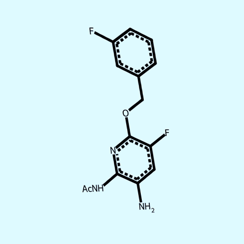 CC(=O)Nc1nc(OCc2cccc(F)c2)c(F)cc1N